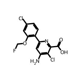 Nc1cc(-c2ccc(Cl)cc2OCF)nc(C(=O)O)c1Cl